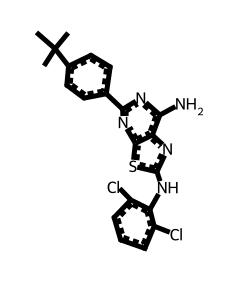 CC(C)(C)c1ccc(-c2nc(N)c3nc(Nc4c(Cl)cccc4Cl)sc3n2)cc1